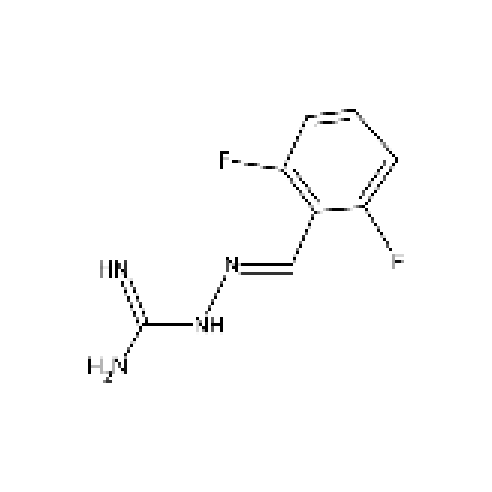 N=C(N)NN=Cc1c(F)cccc1F